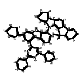 CC1(C)c2ccccc2-c2ccc3c4ccccc4n(-c4cccc5c4oc4cc(-c6ccccc6)cc(-c6nc(-c7ccccc7)nc(-c7ccccc7)n6)c45)c3c21